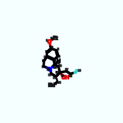 CCOc1ccc2c(c1)CCN1C[C@@H](CC(C)CC)[C@@](O)(CCF)C[C@H]21